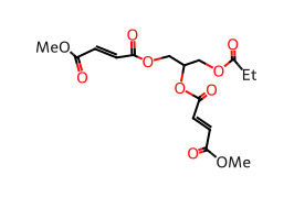 CCC(=O)OCC(COC(=O)/C=C/C(=O)OC)OC(=O)/C=C/C(=O)OC